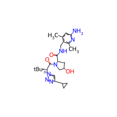 Cc1cc(N)nc(C)c1CNC(=O)C1CC(O)CN1C(=O)[C@@H](n1cc(C2CC2)nn1)C(C)(C)C